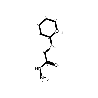 NNC(=O)COC1CCCCO1